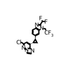 FC(F)c1nc2ccc([C@H]3C[C@@H]3c3cc(Cl)nn4ccnc34)cc2n1CC(F)(F)F